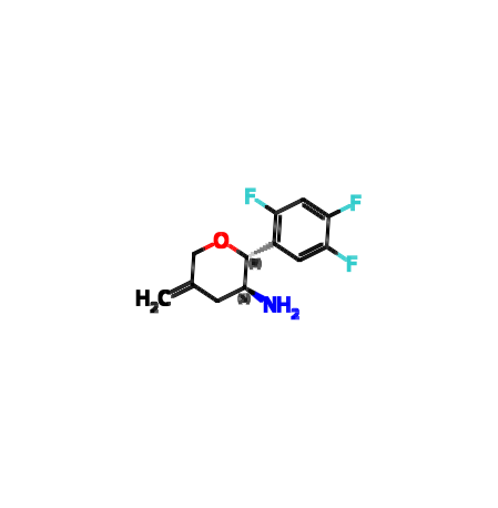 C=C1CO[C@H](c2cc(F)c(F)cc2F)[C@@H](N)C1